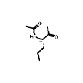 CCC[C@H](NC(C)=O)C(C)=O